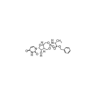 CC(NP1(=O)OC[C@H]2[C@@H](O)[C@H](n3ccc(=O)[nH]c3=O)O[C@@H]2CO1)C(=O)OCc1ccccc1